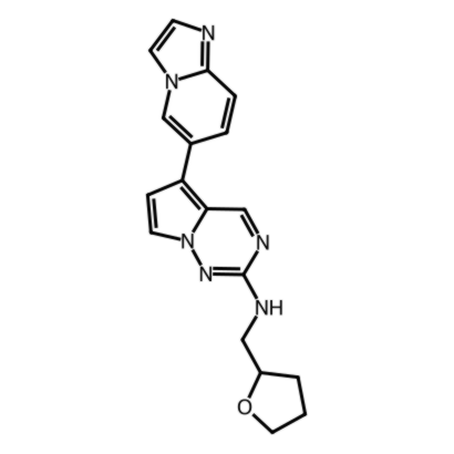 c1cn2cc(-c3ccn4nc(NCC5CCCO5)ncc34)ccc2n1